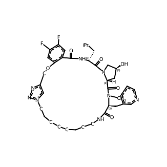 CC(C)C[C@H]1NC(=O)c2cc(F)c(F)cc2OCc2cn(nn2)CCCCCCCCNC(=O)[C@H](Cc2cccnc2)N(C)C(=O)[C@H]2C[C@H](O)CN2C1=O